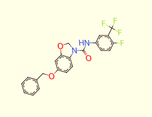 O=C(Nc1ccc(F)c(C(F)(F)F)c1)N1COc2cc(OCc3ccccc3)ccc21